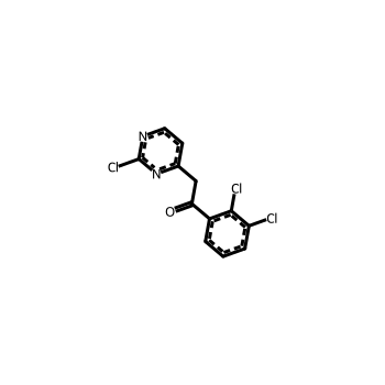 O=C(Cc1ccnc(Cl)n1)c1cccc(Cl)c1Cl